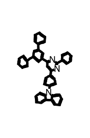 c1ccc(-c2cc(-c3ccccc3)cc(-c3cc(-c4ccc(-n5c6ccccc6c6ccccc65)cc4)nc(-c4ccccc4)n3)c2)cc1